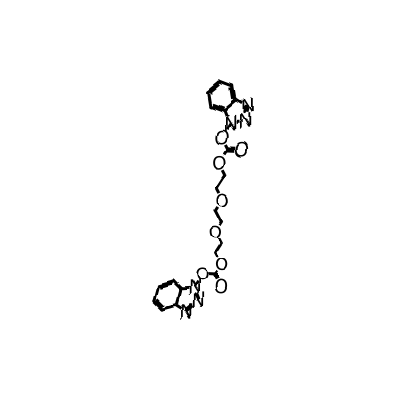 O=C(OCCOCCOCCOC(=O)On1nnc2ccccc21)ON1N=NC2C=CC=CC21